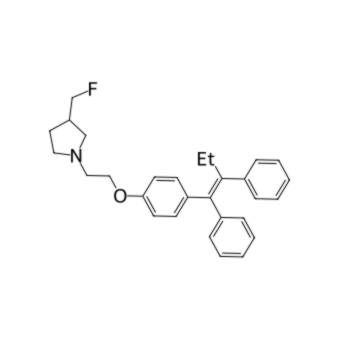 CCC(=C(c1ccccc1)c1ccc(OCCN2CCC(CF)C2)cc1)c1ccccc1